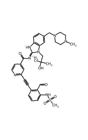 CN1CCN(Cc2ccc3[nH]/c(=N\C(=O)c4ccnc(C#Cc5cccc(NS(C)(=O)=O)c5C=O)c4)n(CC(C)(C)O)c3c2)CC1